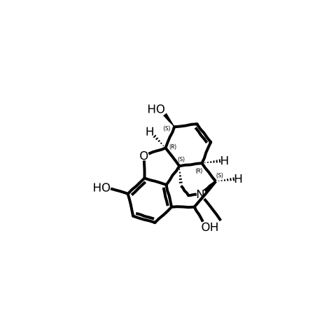 CN1CC[C@]23c4c5ccc(O)c4O[C@H]2[C@@H](O)C=C[C@H]3[C@H]1C5O